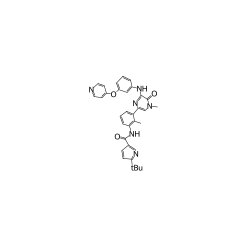 Cc1c(NC(=O)c2ccc(C(C)(C)C)nc2)cccc1-c1cn(C)c(=O)c(Nc2cccc(Oc3ccncc3)c2)n1